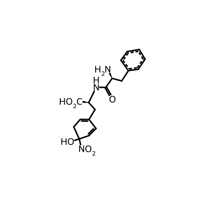 N[C@@H](Cc1ccccc1)C(=O)N[C@@H](CC1=CCC(O)([N+](=O)[O-])C=C1)C(=O)O